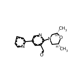 C[C@@H]1CN(c2ncc(-c3ccccn3)cc2C=O)C[C@H](C)O1